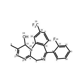 CC1=NN=C2CN=C(c3ccccc3F)c3ccc(C(F)(F)F)cc3N2C1O